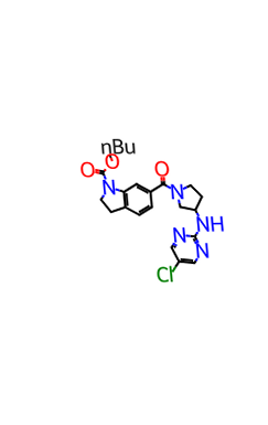 CCCCOC(=O)N1CCc2ccc(C(=O)N3CCC(Nc4ncc(Cl)cn4)C3)cc21